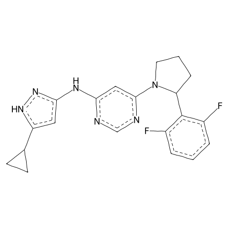 Fc1cccc(F)c1C1CCCN1c1cc(Nc2cc(C3CC3)[nH]n2)ncn1